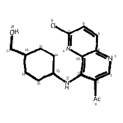 CC(=O)c1cnc2ccc(Cl)nc2c1NC1CCC(CO)CC1